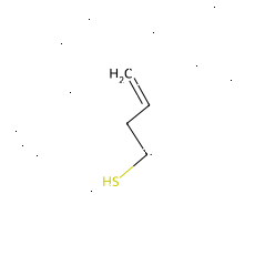 C=CC[CH]S